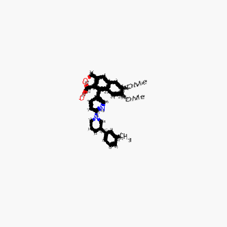 COc1cc2cc3c(c(-c4ccc(N5CCCC(c6cccc(C)c6)C5)nc4)c2cc1OC)C(=O)OC3